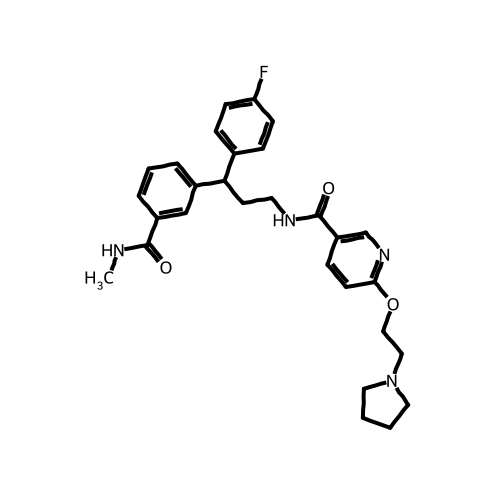 CNC(=O)c1cccc(C(CCNC(=O)c2ccc(OCCN3CCCC3)nc2)c2ccc(F)cc2)c1